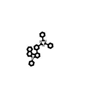 c1ccc(-c2nc(-c3ccccc3)nc(-c3cccc(-c4cccc5c4c4c6ccccc6ccc4n5-c4ccccc4)c3)n2)cc1